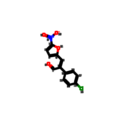 O=CC(=Cc1ccc([N+](=O)[O-])o1)c1ccc(Cl)cc1